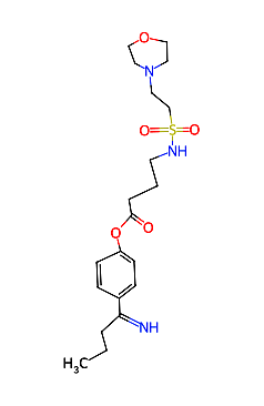 CCCC(=N)c1ccc(OC(=O)CCCNS(=O)(=O)CCN2CCOCC2)cc1